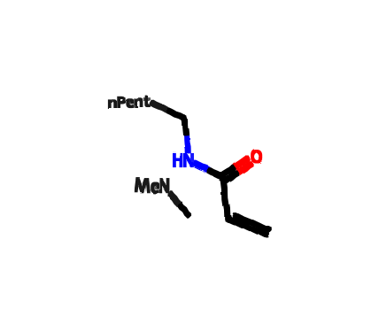 C=CC(=O)NCCCCCC.CNC